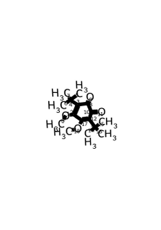 COC1=C(C(C)(C)C)C(=O)C(=O)C(C(C)(C)C)=C1OC